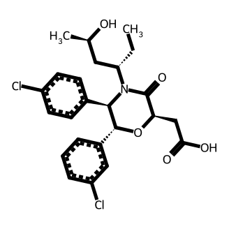 CC[C@@H](C[C@@H](C)O)N1C(=O)[C@@H](CC(=O)O)O[C@H](c2cccc(Cl)c2)[C@H]1c1ccc(Cl)cc1